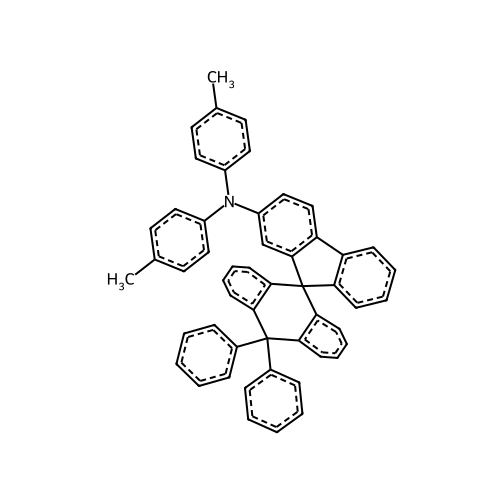 Cc1ccc(N(c2ccc(C)cc2)c2ccc3c(c2)C2(c4ccccc4-3)c3ccccc3C(c3ccccc3)(c3ccccc3)c3ccccc32)cc1